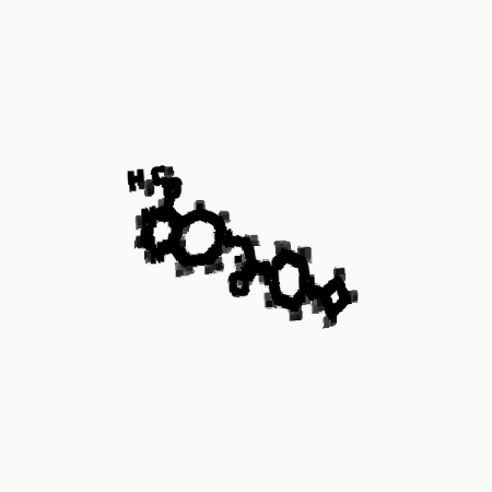 COc1ncnc2c1CCN(CC(=O)N1CCN(C3CCC3)CC1)CC2